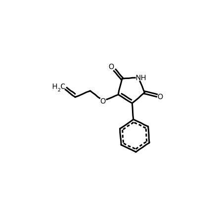 C=CCOC1=C(c2ccccc2)C(=O)NC1=O